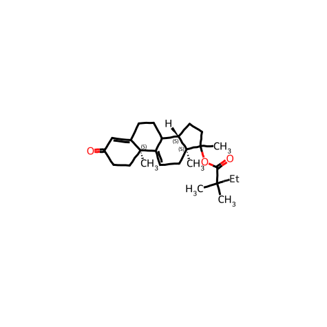 CCC(C)(C)C(=O)OC1(C)CC[C@H]2C3CCC4=CC(=O)CC[C@]4(C)C3=CC[C@@]21C